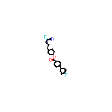 N#C/C(F)=C\CCC1CCC(OC(=O)C2CCC(c3ccc(F)cc3)CC2)CC1